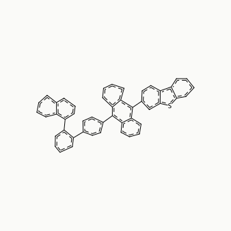 c1ccc(-c2cccc3ccccc23)c(-c2ccc(-c3c4ccccc4c(-c4ccc5c(c4)sc4ccccc45)c4ccccc34)cc2)c1